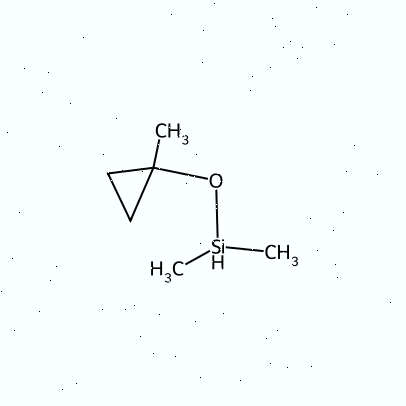 C[SiH](C)OC1(C)CC1